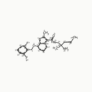 Cc1nc2c(OCc3c(F)cccc3F)cccn2c1C(=O)NCC(C)(N)CCO